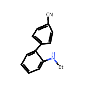 CCNc1ccccc1-c1ccc(C#N)cc1